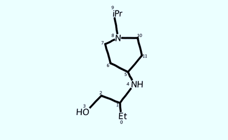 CCC(CO)NC1CCN(C(C)C)CC1